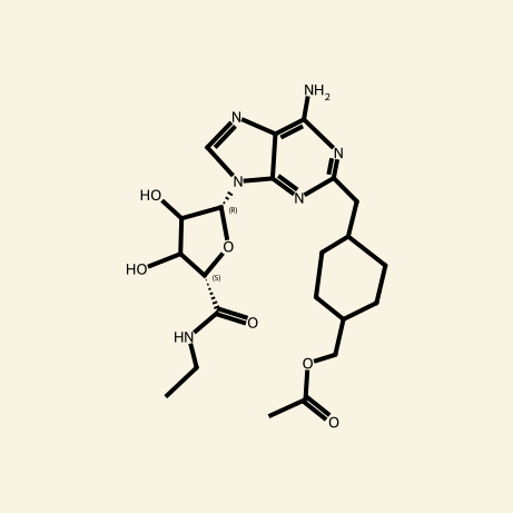 CCNC(=O)[C@H]1O[C@@H](n2cnc3c(N)nc(CC4CCC(COC(C)=O)CC4)nc32)C(O)C1O